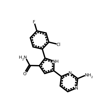 NC(=O)c1cc(-c2ccnc(N)n2)[nH]c1-c1ccc(F)cc1Cl